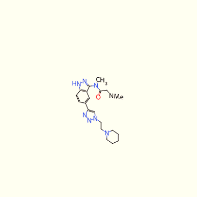 CNCC(=O)N(C)c1n[nH]c2ccc(-c3cn(CCN4CCCCC4)nn3)cc12